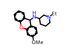 CCN1CCCC(NC2c3ccccc3Oc3cc(OC)ccc32)C1